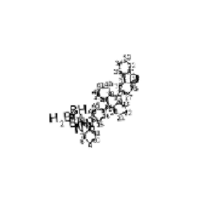 BC(B)(B)Cc1nc2ccccc2n1-c1ccc(-c2c3ccccc3c(-c3ccc4oc5ccccc5c4c3)c3ccccc23)cc1